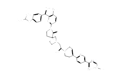 CN/C=N\C(=N)c1ccc(C2=CCN(C(=O)CN3CC[C@]4(CCN(c5ccc(N)c(C(=N)c6ccc(OC(C)C)cc6)n5)C4=O)C3)CC2)nc1